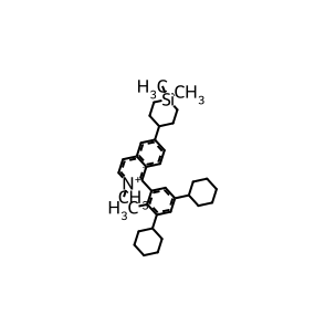 Cc1c(-c2c3ccc(C4CC[Si](C)(C)CC4)cc3cc[n+]2C)cc(C2CCCCC2)cc1C1CCCCC1